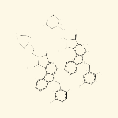 O=C1c2ncc3c(c2C(O)N1CCN1CCOCC1)c1ccccc1n3Cc1cc(Cl)ccc1Cl.O=C1c2ncc3c(c2C(O)N1CCN1CCOCC1)c1ccccc1n3Cc1cc(Cl)ccc1Cl